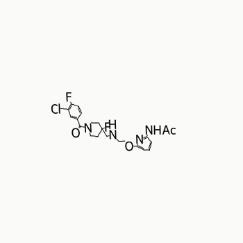 CC(=O)Nc1cccc(OCCNCC2(F)CCN(C(=O)c3ccc(F)c(Cl)c3)CC2)n1